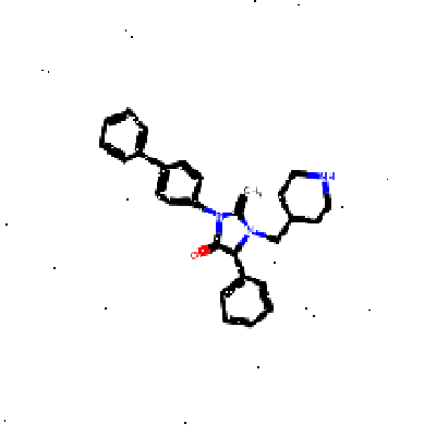 C=C1N(c2ccc(-c3ccccc3)cc2)C(=O)C(c2ccccc2)N1CC1CCNCC1